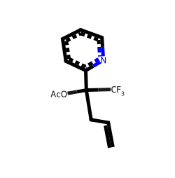 C=CCC(OC(C)=O)(c1ccccn1)C(F)(F)F